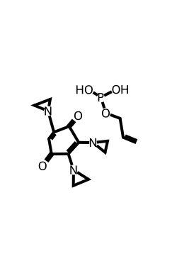 C=CCOP(O)O.O=C1C=C(N2CC2)C(=O)C(N2CC2)=C1N1CC1